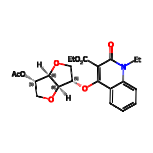 CCOC(=O)c1c(O[C@H]2CO[C@H]3[C@@H]2OC[C@@H]3OC(C)=O)c2ccccc2n(CC)c1=O